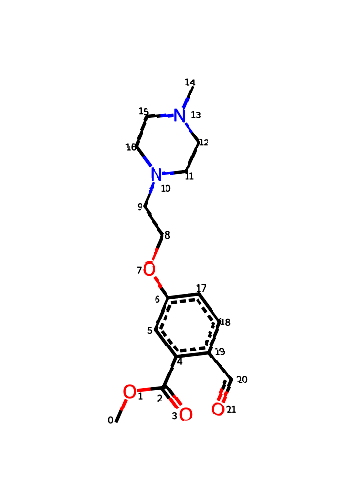 COC(=O)c1cc(OCCN2CCN(C)CC2)ccc1C=O